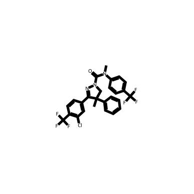 CN(C(=O)N1CC(C)(c2ccccc2)C(c2ccc(C(F)(F)F)c(Cl)c2)=N1)c1ccc(C(F)(F)F)cc1